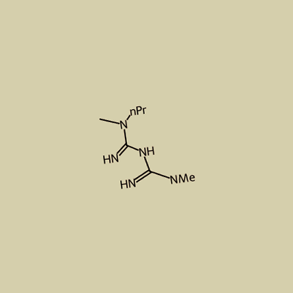 CCCN(C)C(=N)NC(=N)NC